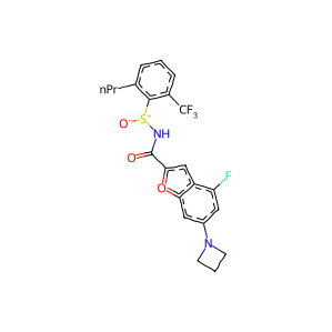 CCCc1cccc(C(F)(F)F)c1[S+]([O-])NC(=O)c1cc2c(F)cc(N3CCC3)cc2o1